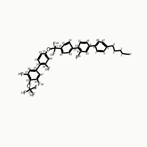 CCCCCc1ccc(-c2ccc(-c3ccc(C(F)(F)Oc4ccc(-c5cc(F)c(OC(F)(F)F)c(F)c5)c(F)c4)cc3)c(F)c2)cc1